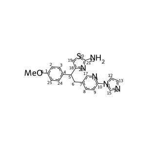 COc1ccc(C(Cc2ccc(-n3ccnc3)nc2)c2csc(N)n2)cc1